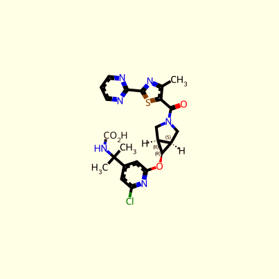 Cc1nc(-c2ncccn2)sc1C(=O)N1C[C@@H]2[C@H](C1)[C@@H]2Oc1cc(C(C)(C)NC(=O)O)cc(Cl)n1